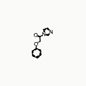 O=C(COc1ccccc1)n1ccnc1